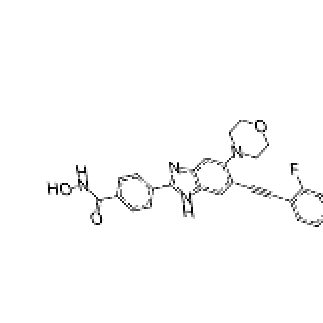 O=C(NO)c1ccc(-c2nc3cc(N4CCOCC4)c(C#Cc4ccccc4F)cc3[nH]2)cc1